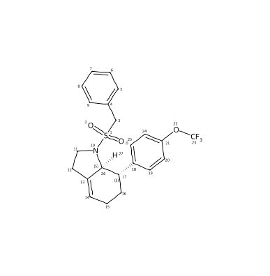 O=S(=O)(Cc1ccccc1)N1CCC2=CCC[C@@H](c3ccc(OC(F)(F)F)cc3)[C@@H]21